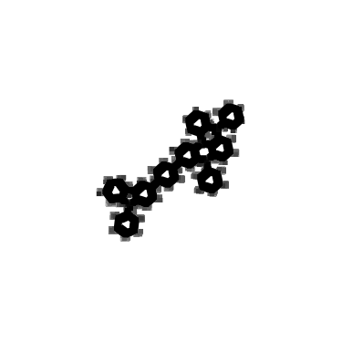 c1ccc(N2c3ccccc3B3c4ccc(-c5ccc(-c6ccc7c(c6)c6ccccc6n7-c6ccccc6)cc5)cc4N(c4ccccc4)c4cccc2c43)cc1